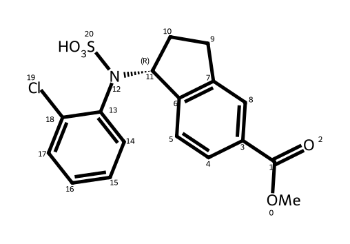 COC(=O)c1ccc2c(c1)CC[C@H]2N(c1ccccc1Cl)S(=O)(=O)O